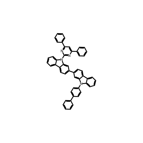 c1ccc(-c2ccc(-n3c4ccccc4c4ccc(-c5ccc6c7ccccc7n(-c7nc(-c8ccccc8)cc(-c8ccccc8)n7)c6c5)cc43)cc2)cc1